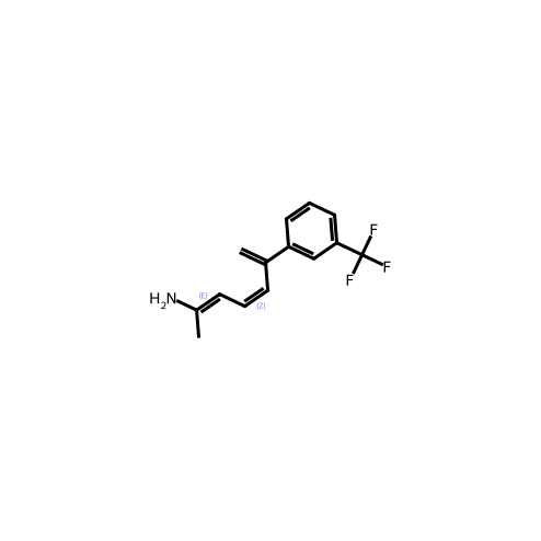 C=C(/C=C\C=C(/C)N)c1cccc(C(F)(F)F)c1